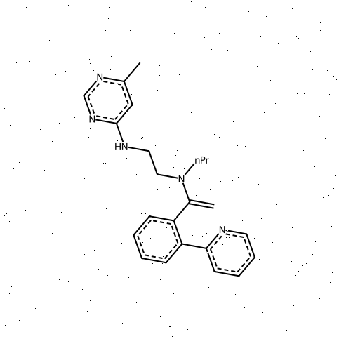 C=C(c1ccccc1-c1ccccn1)N(CCC)CCNc1cc(C)ncn1